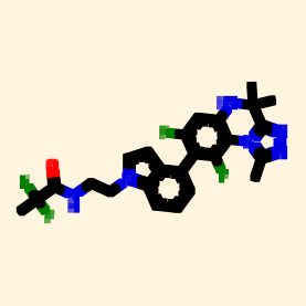 Cc1nnc2n1-c1c(cc(F)c(-c3cccc4c3ccn4CCNC(=O)C(C)(F)F)c1F)NC2(C)C